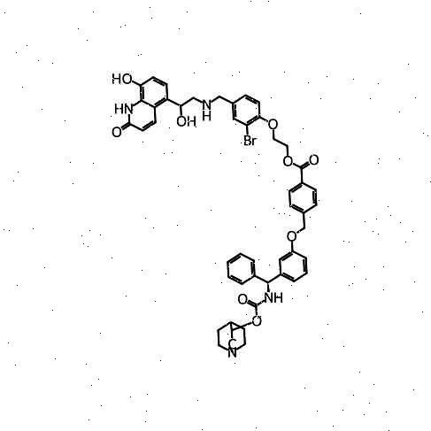 O=C(N[C@@H](c1ccccc1)c1cccc(OCc2ccc(C(=O)OCCOc3ccc(CNCC(O)c4ccc(O)c5[nH]c(=O)ccc45)cc3Br)cc2)c1)OC1CN2CCC1CC2